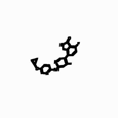 Cc1cc(Nc2ccc(OC3CC3)cn2)ncc1-c1ccc(F)c2c1CNC2=O